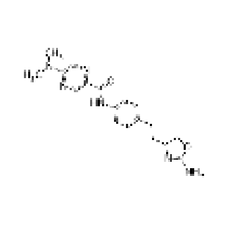 CN(C)c1cnc(C(=O)Nc2ccc(CCC3COC(N)=N3)cc2)cn1